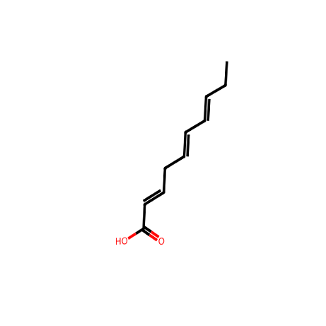 CCC=CC=CCC=CC(=O)O